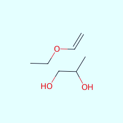 C=COCC.CC(O)CO